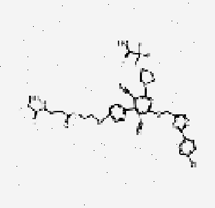 C[C@H](N)C(=O)NCCC(=O)OCCOc1ccc(-c2c(C#N)c(SCc3csc(-c4ccc(Cl)cc4)n3)nc(N3CCCC3)c2C#N)cc1.O=C(O)C(F)(F)F